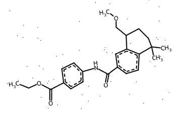 CCOC(=O)c1ccc(NC(=O)c2ccc3c(c2)C(COC)CCC3(C)C)cc1